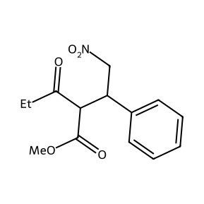 CCC(=O)C(C(=O)OC)C(C[N+](=O)[O-])c1ccccc1